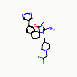 CN1C(=O)C2(N=C1N)c1cc(-c3cncnc3)ccc1CC[C@H]2CC1CCN(CC(F)F)CC1